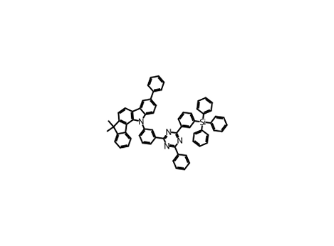 CC1(C)c2ccccc2-c2c1ccc1c3cc(-c4ccccc4)ccc3n(-c3cccc(-c4nc(-c5ccccc5)nc(-c5cccc([Si](c6ccccc6)(c6ccccc6)c6ccccc6)c5)n4)c3)c21